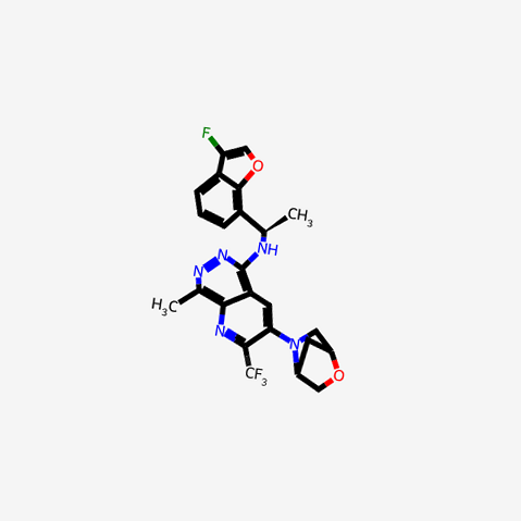 Cc1nnc(N[C@H](C)c2cccc3c(F)coc23)c2cc(N3CC4CC3CO4)c(C(F)(F)F)nc12